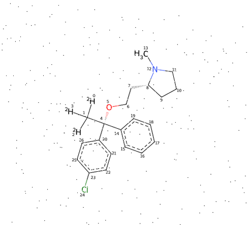 [2H]C([2H])([2H])[C@@](OCC[C@H]1CCCN1C)(c1ccccc1)c1ccc(Cl)cc1